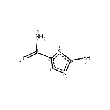 NC(=O)c1cnc(S)s1